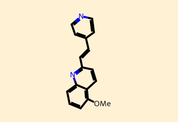 COc1cccc2nc(/C=C/c3ccncc3)ccc12